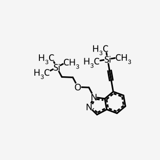 C[Si](C)(C)C#Cc1cccc2cnn(COCC[Si](C)(C)C)c12